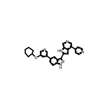 c1cc(-c2cncc3[nH]c(-c4n[nH]c5ccc(-c6cncc(OC7CCCCC7)c6)cc45)cc23)ccn1